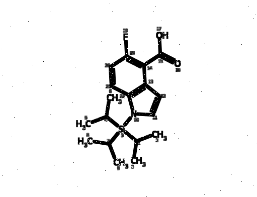 CC(C)[Si](C(C)C)(C(C)C)n1ccc2c(C(=O)O)c(F)ccc21